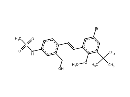 COc1c(/C=C/c2ccc(NS(C)(=O)=O)cc2CO)cc(Br)cc1C(C)(C)C